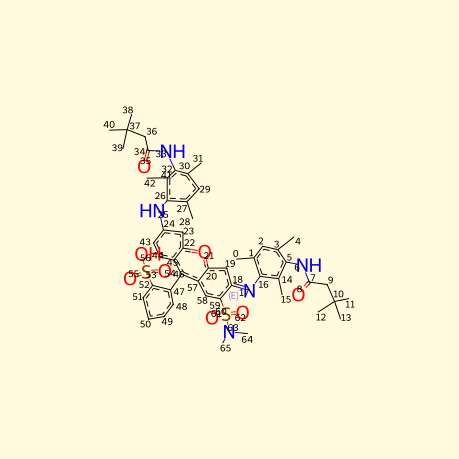 Cc1cc(C)c(NC(=O)CC(C)(C)C)c(C)c1/N=c1\cc2oc3cc(Nc4c(C)cc(C)c(NC(=O)CC(C)(C)C)c4C)ccc3c(-c3ccccc3S(=O)(=O)O)c-2cc1S(=O)(=O)N(C)C